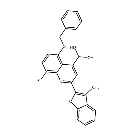 Cc1c(-c2cc(C(O)O)c3c(OCc4ccccc4)ccc(C(C)C)c3n2)oc2ccccc12